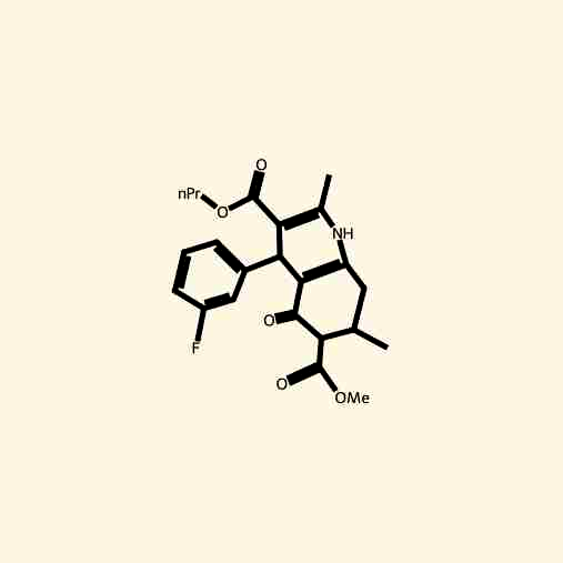 CCCOC(=O)C1=C(C)NC2=C(C(=O)C(C(=O)OC)C(C)C2)C1c1cccc(F)c1